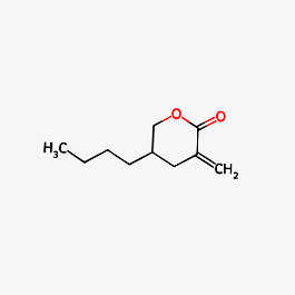 C=C1CC(CCCC)COC1=O